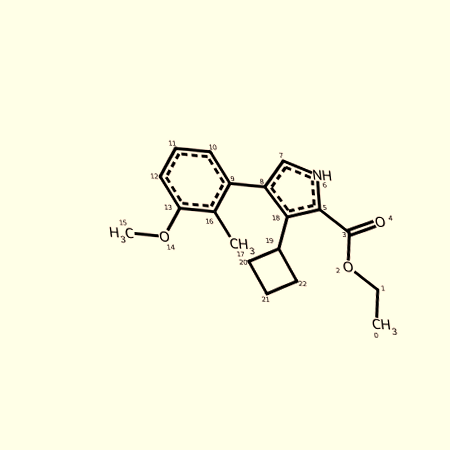 CCOC(=O)c1[nH]cc(-c2cccc(OC)c2C)c1C1CCC1